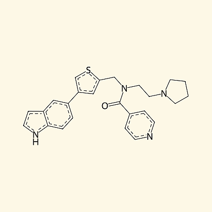 O=C(c1ccncc1)N(CCN1CCCC1)Cc1cc(-c2ccc3[nH]ccc3c2)cs1